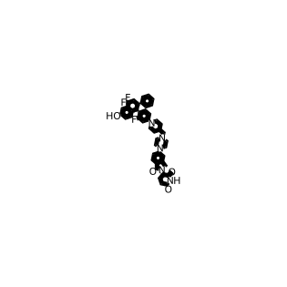 O=C1CC[C@H](N2Cc3cc(N4CCN(CC5CCN(c6ccc([C@@H]7c8ccc(O)cc8C(F)(F)C[C@@H]7c7ccccc7)c(F)c6)CC5)CC4)ccc3C2=O)C(=O)N1